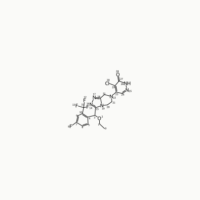 CCOC(c1ccc(F)cc1C(F)(F)F)c1nnc2n1CCN(c1cn[nH]c(=O)c1Cl)C2